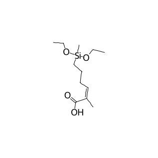 CCO[Si](C)(CCCC=C(C)C(=O)O)OCC